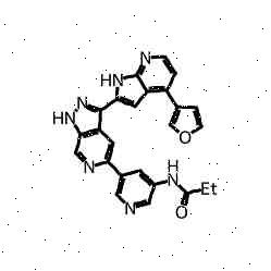 CCC(=O)Nc1cncc(-c2cc3c(-c4cc5c(-c6ccoc6)ccnc5[nH]4)n[nH]c3cn2)c1